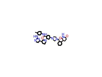 Cc1ccc(NC(=O)c2ccc(N3CCN(Cc4ccccc4C4CCC(=O)NC4=O)CC3)cc2)cc1Nc1nccc(-c2cccnc2)n1